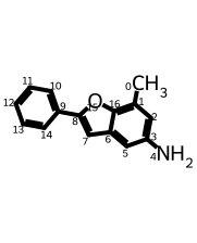 Cc1cc(N)cc2cc(-c3ccccc3)oc12